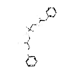 CC(C)(CNC(=O)Cc1ccccc1)NCC(O)COc1ccccc1